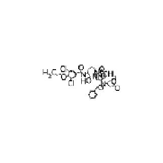 C=CCOc1c(Cl)cc(C(=O)NC2CCCN(S(C)(=O)=O)N(CC(=O)N(OCc3ccccc3)C3COC(=O)C3)C2=O)cc1Cl